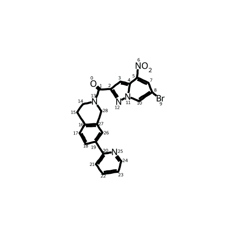 O=C(c1cc2c([N+](=O)[O-])cc(Br)cn2n1)N1CCc2ccc(-c3ccccn3)cc2C1